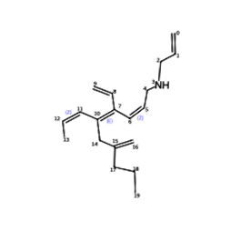 C=CCNC\C=C/C(C=C)=C(/C=C\C)CC(=C)CCC